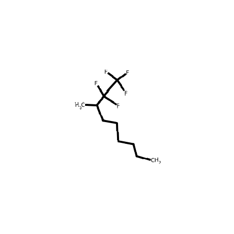 CCCCCCC(C)C(F)(F)C(F)(F)F